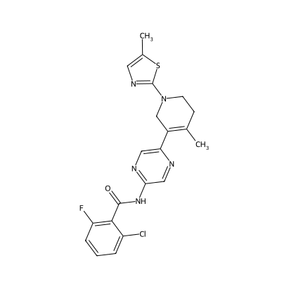 CC1=C(c2cnc(NC(=O)c3c(F)cccc3Cl)cn2)CN(c2ncc(C)s2)CC1